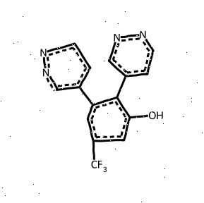 Oc1cc(C(F)(F)F)cc(-c2ccnnc2)c1-c1ccnnc1